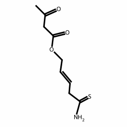 CC(=O)CC(=O)OCC=CCC(N)=S